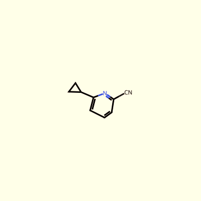 N#Cc1cccc(C2CC2)n1